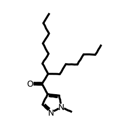 CCCCCCC(CCCCCC)C(=O)c1cnn(C)c1